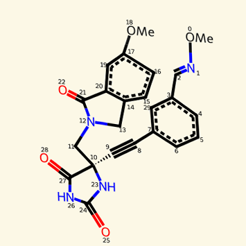 CO/N=C/c1cccc(C#C[C@]2(CN3Cc4ccc(OC)cc4C3=O)NC(=O)NC2=O)c1